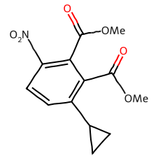 COC(=O)c1c(C2CC2)ccc([N+](=O)[O-])c1C(=O)OC